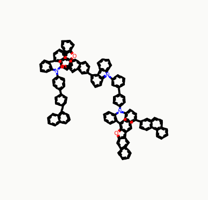 c1cc(-c2ccc(N(c3ccc(-c4ccc5c(ccc6ccccc65)c4)cc3)c3ccccc3-c3cccc4c3oc3cc5ccccc5cc34)cc2)cc(-n2c3ccccc3c3c(-c4ccc5cc6c(cc5c4)oc4c(-c5ccccc5N(c5ccc(-c7ccc(-c8cccc9ccccc89)cc7)cc5)c5ccc7oc8ccccc8c7c5)cccc46)cccc32)c1